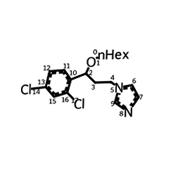 CCCCCCOC(CCn1ccnc1)c1ccc(Cl)cc1Cl